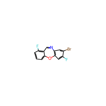 Fc1cc2c(cc1Br)N=Cc1c(F)cccc1O2